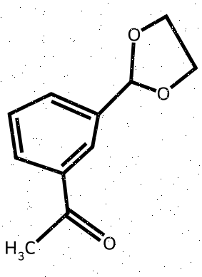 CC(=O)c1cccc(C2OCCO2)c1